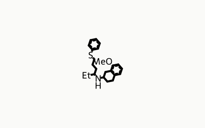 CCC(CCCSc1ccccc1)NC1CCc2cccc(OC)c2C1